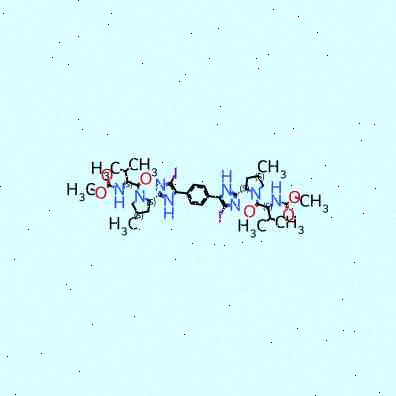 COC(=O)N[C@H](C(=O)N1C[C@@H](C)C[C@H]1c1nc(I)c(-c2ccc(-c3[nH]c([C@@H]4C[C@H](C)CN4C(=O)[C@@H](NC(=O)OC)C(C)C)nc3I)cc2)[nH]1)C(C)C